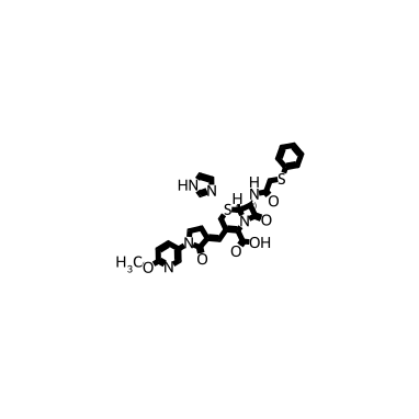 COc1ccc(N2CCC(=CC3=C(C(=O)O)N4C(=O)[C@@H](NC(=O)CSc5ccccc5)[C@H]4SC3)C2=O)cn1.c1c[nH]cn1